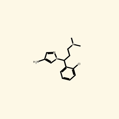 CN(C)CCC(c1ccccc1Cl)n1cc(N)cn1